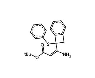 CC(C)(C)OC(=O)/C=C(/N)C1(Sc2ccccc2)Cc2ccccc21